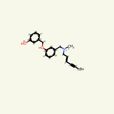 CN(C/C=C/C#CC(C)(C)C)Cc1cccc(OCc2cccc(O)c2)c1